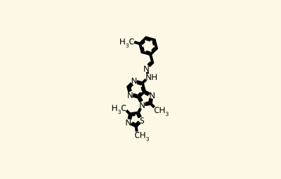 Cc1cccc(C=NNc2ncnc3c2nc(C)n3-c2sc(C)nc2C)c1